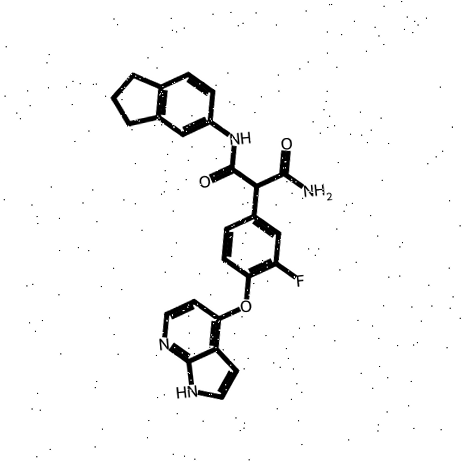 NC(=O)C(C(=O)Nc1ccc2c(c1)CCC2)c1ccc(Oc2ccnc3[nH]ccc23)c(F)c1